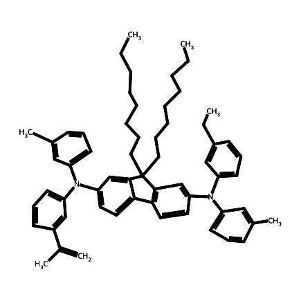 C=C(C)c1cccc(N(c2cccc(C)c2)c2ccc3c(c2)C(CCCCCCCC)(CCCCCCCC)c2cc(N(c4cccc(C)c4)c4cccc(CC)c4)ccc2-3)c1